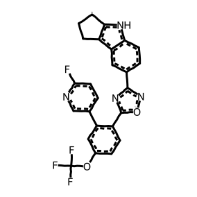 Fc1ccc(-c2cc(OC(F)(F)F)ccc2-c2nc(-c3ccc4[nH]c5c(c4c3)CC[CH]5)no2)cn1